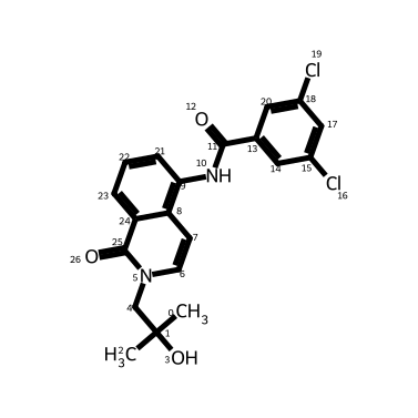 CC(C)(O)Cn1ccc2c(NC(=O)c3cc(Cl)cc(Cl)c3)cccc2c1=O